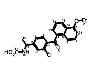 CCOc1nccc2c(C(=O)c3ccc(C(C)NC(=O)O)cc3Cl)cccc12